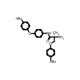 CCCCc1ccc(OC[C@](C)(N)C(=O)Nc2ccc(Oc3ccc(CCCC)cc3)cc2)cc1